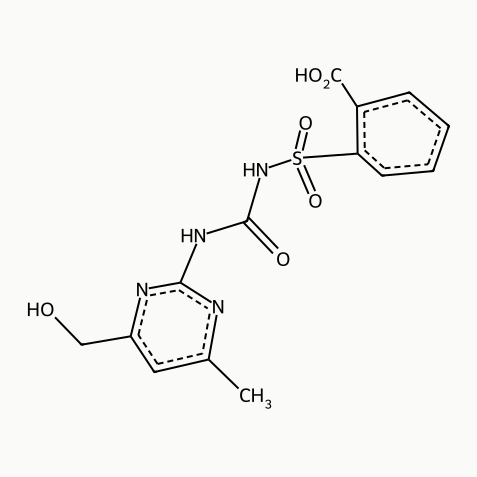 Cc1cc(CO)nc(NC(=O)NS(=O)(=O)c2ccccc2C(=O)O)n1